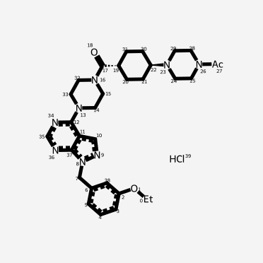 CCOc1cccc(Cn2ncc3c(N4CCN(C(=O)[C@H]5CC[C@H](N6CCN(C(C)=O)CC6)CC5)CC4)ncnc32)c1.Cl